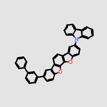 c1ccc(-c2cccc(-c3ccc4oc5c(ccc6c7cc(-n8c9ccccc9c9ccccc98)ccc7oc65)c4c3)c2)cc1